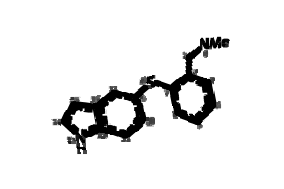 CNCc1ccccc1Sc1ccc2[nH]ccc2c1